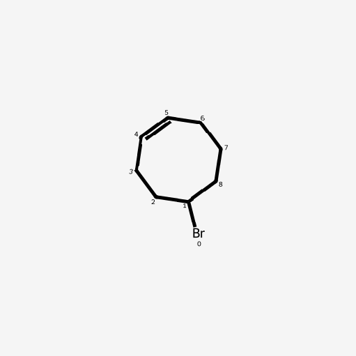 BrC1CC/C=C\CCC1